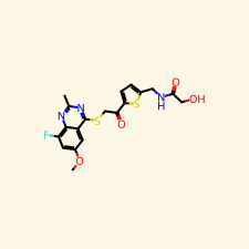 COc1cc(F)c2nc(C)nc(SCC(=O)c3ccc(CNC(=O)CO)s3)c2c1